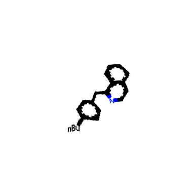 CCCCc1ccc(Cc2nccc3ccccc23)cc1